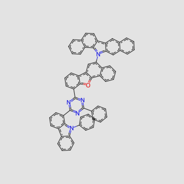 c1ccc(-c2nc(-c3cccc4c3oc3c5ccccc5c(-n5c6cc7ccccc7cc6c6ccc7ccccc7c65)cc43)nc(-c3cccc4c5ccccc5n(-c5ccccc5)c34)n2)cc1